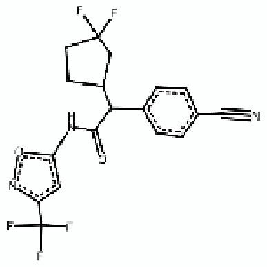 N#Cc1ccc(C(C(=O)Nc2cc(C(F)(F)F)no2)C2CCC(F)(F)C2)cc1